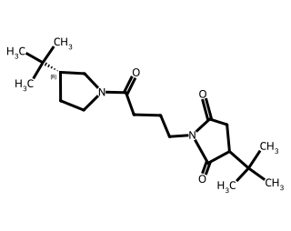 CC(C)(C)C1CC(=O)N(CCCC(=O)N2CC[C@H](C(C)(C)C)C2)C1=O